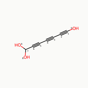 OC#CC#CC#CC(O)O